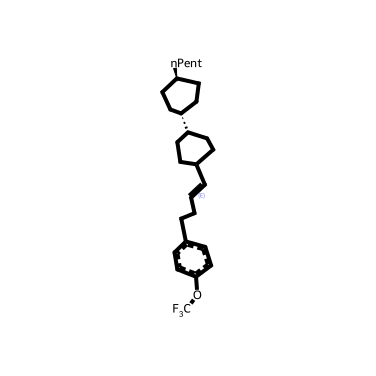 CCCCC[C@H]1CC[C@H](C2CCC(/C=C/CCc3ccc(OC(F)(F)F)cc3)CC2)CC1